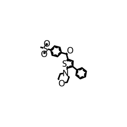 CS(=O)(=O)c1ccc(C(=O)c2cc(-c3ccccc3)c(N3CCOCC3)s2)cc1